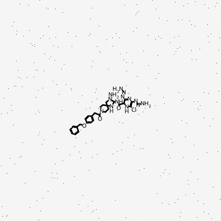 NN=NC1=NC(N=NN)=C(Cl)NC1C(=O)NC1NC2(CCN(C(=O)Cc3ccc(OCc4ccccc4)cc3)CC2)CN1N